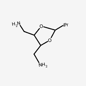 CC(C)C1OC(CN)C(CN)O1